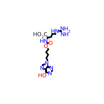 N=C(N)NCCC[C@@H](NC(=O)OCCCCCn1cnc2c(O)ncnc21)C(=O)O